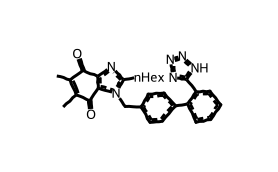 CCCCCCc1nc2c(n1Cc1ccc(-c3ccccc3-c3nnn[nH]3)cc1)C(=O)C(C)=C(C)C2=O